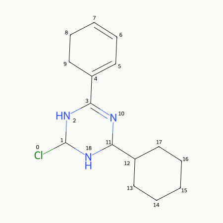 ClC1NC(C2=CC=CCC2)=NC(C2CCCCC2)N1